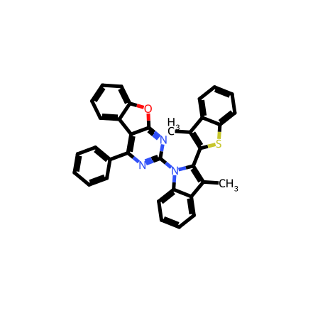 Cc1c(-c2c(C)c3ccccc3n2-c2nc(-c3ccccc3)c3c(n2)oc2ccccc23)sc2ccccc12